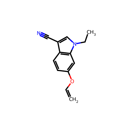 C=COc1ccc2c(C#N)cn(CC)c2c1